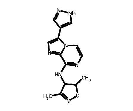 CC1=NOC(C)C1Nc1nccn2c(-c3cn[nH]c3)cnc12